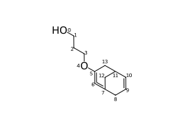 OCCCOC1=C=C2CC=CC(C2)C1